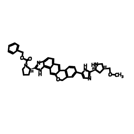 COC[C@@H]1CN[C@H](c2ncc(-c3ccc4c(c3)COc3cc5c(ccc6nc([C@@H]7CCCN7C(=O)OCc7ccccc7)[nH]c65)cc3-4)[nH]2)C1